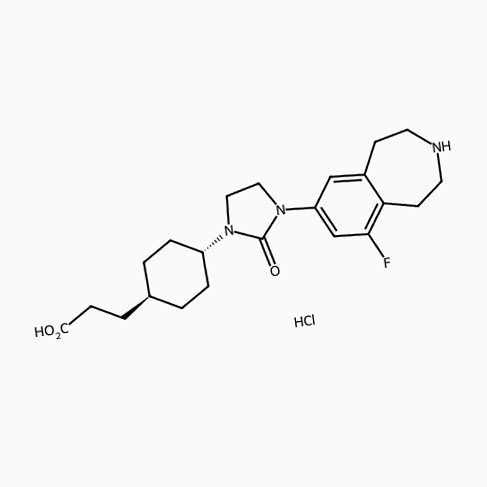 Cl.O=C(O)CC[C@H]1CC[C@H](N2CCN(c3cc(F)c4c(c3)CCNCC4)C2=O)CC1